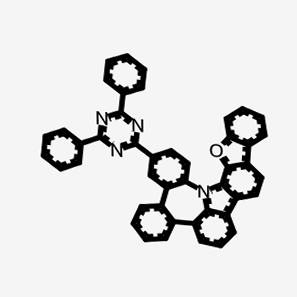 c1ccc(-c2nc(-c3ccccc3)nc(-c3ccc4c(c3)-c3ccccc3-c3cccc5c6ccc7c8ccccc8oc7c6n-4c35)n2)cc1